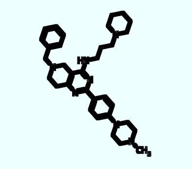 CN1CCN(c2ccc(-c3nc4c(c(NCCCN5CCCCC5)n3)CN(CC3=CC=C=C=C3)CC4)cc2)CC1